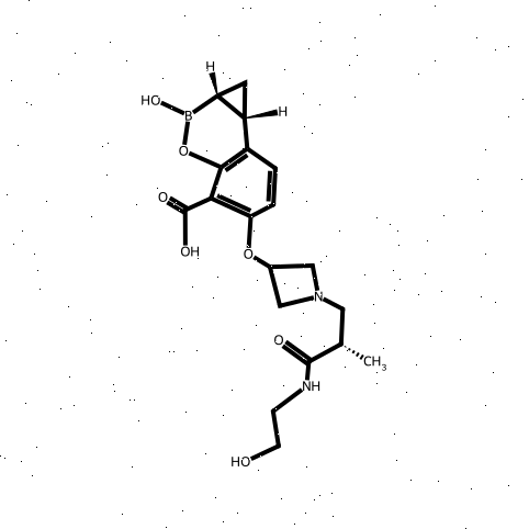 C[C@@H](CN1CC(Oc2ccc3c(c2C(=O)O)OB(O)[C@@H]2C[C@H]32)C1)C(=O)NCCO